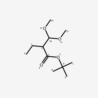 CCC(C(=O)OC(C)(C)C)C(OC)OC